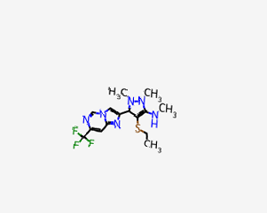 CCSC1=C(NC)N(C)N(C)C1c1cn2cnc(C(F)(F)F)cc2n1